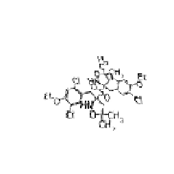 CCOc1cc(Cl)c(CC2(S(=O)(=O)C3(Cc4cc(Cl)c(OCC)cc4Cl)CC(C)(C)ON3)CC(C)(C)ON2)cc1Cl